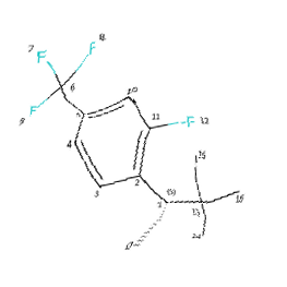 C[C@H](c1ccc(C(F)(F)F)cc1F)C(C)(C)C